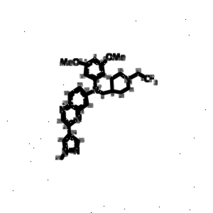 COc1cc(OC)cc(N(CC2CCN(CC(F)(F)F)CC2)c2ccc3ncc(-c4cnn(C)c4)nc3c2)c1